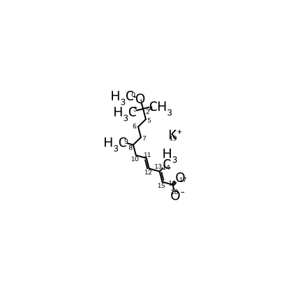 COC(C)(C)CCCC(C)C/C=C/C(C)=C/C(=O)[O-].[K+]